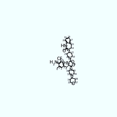 Cc1cc(C[C@@H](NC(=O)N2CCC(N3CCc4ccccc4NC3=O)CC2)C(=O)N2CCN(C3CCOCC3)CC2)cc(C(F)(F)F)c1N